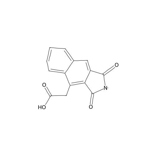 O=C(O)Cc1c2c(cc3ccccc13)C(=O)[N]C2=O